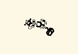 Cc1nn(C)c(Cl)c1S(=O)(=O)N1CCc2c(ncnc2NCC23CC4CC(CC(C4)C2)C3)C1